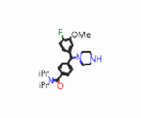 COc1cc(C(c2ccc(C(=O)N(C(C)C)C(C)C)cc2)N2CCNCC2)ccc1F